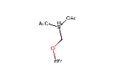 CCCOC[SiH](OC(C)=O)OC(C)=O